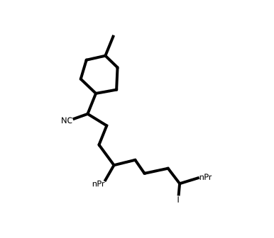 CCCC(I)CCCC(CCC)CCC(C#N)C1CCC(C)CC1